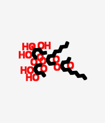 CCCCCCCC(CC(C)=O)OC(=O)CC(CCCCCCC)O[C@@H]1OC(C)[C@H](O)[C@H](O)C1O[C@@H]1OC(C)[C@H](O)[C@H](O)C1O